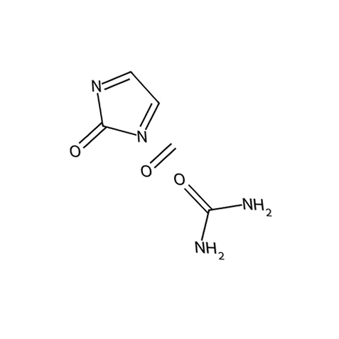 C=O.NC(N)=O.O=C1N=CC=N1